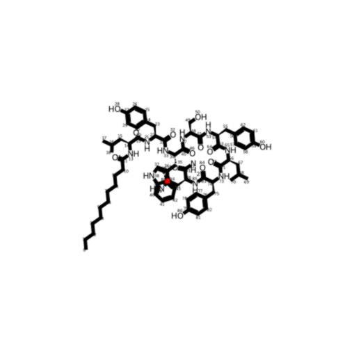 CCCCCCCCCCCC(=O)N[C@@H](CC(C)C)C(=O)N[C@@H](Cc1ccc(O)cc1)C(=O)N[C@@H](Cc1c[nH]c2ccccc12)C(=O)N[C@@H](CO)C(=O)N[C@@H](Cc1ccc(O)cc1)C(=O)N[C@@H](CC(C)C)C(=O)N[C@@H](Cc1ccc(O)cc1)C(=O)N[C@@H](CC(N)=O)C(N)=O